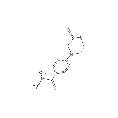 CN(C)C(=O)c1ccc(N2CCNC(=O)C2)cc1